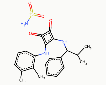 Cc1cccc(Nc2c(NC(c3ccccc3)C(C)C)c(=O)c2=O)c1C.N[SH](=O)=O